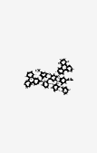 CC(C)(C)c1cc2c3c(c1)N(c1ccc4c5ccccc5c5ccccc5c4c1)c1ccccc1B3c1cc3c(cc1S2)N(c1ccc2c4ccccc4c4ccccc4c2c1)c1cc(C(C)(C)C)cc2c1B3c1ccccc1N2c1ccccc1